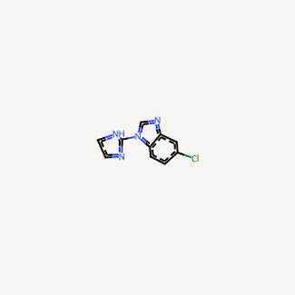 Clc1ccc2c(c1)ncn2-c1ncc[nH]1